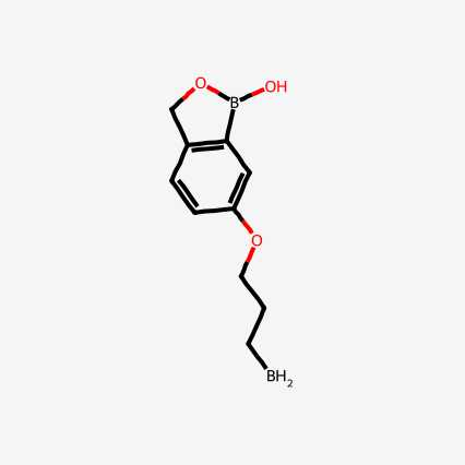 BCCCOc1ccc2c(c1)B(O)OC2